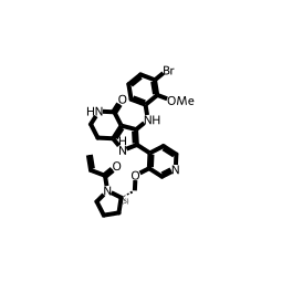 C=CC(=O)N1CCC[C@H]1COc1cnccc1-c1[nH]c2c(c1Nc1cccc(Br)c1OC)C(=O)NCC2